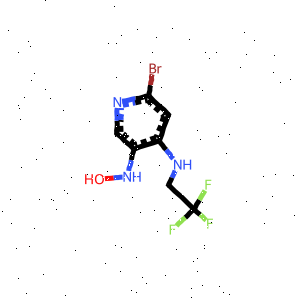 ONc1cnc(Br)cc1NCC(F)(F)F